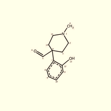 CN1CCC(C=O)(c2ccccc2O)CC1